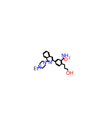 CCN1CCN(c2nc(-c3ccc(CCCO)c(C(N)=O)c3)cc3ccccc23)CC1